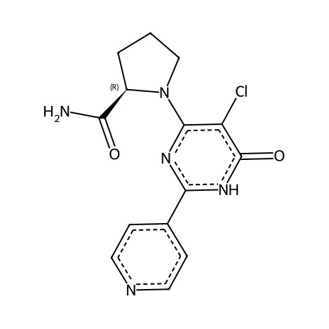 NC(=O)[C@H]1CCCN1c1nc(-c2ccncc2)[nH]c(=O)c1Cl